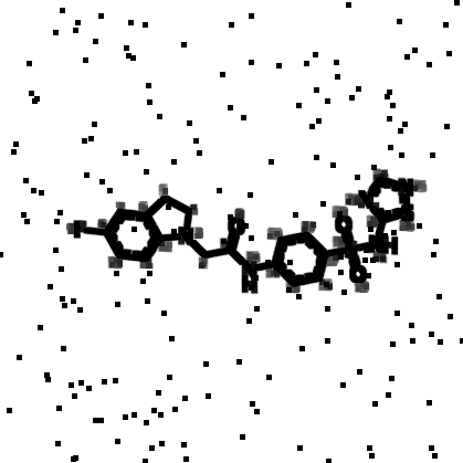 O=C(CN1CCc2cc(F)ccc21)Nc1ccc(S(=O)(=O)Nc2ncns2)cc1